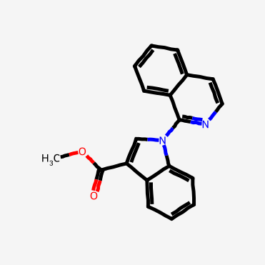 COC(=O)c1cn(-c2nccc3ccccc23)c2ccccc12